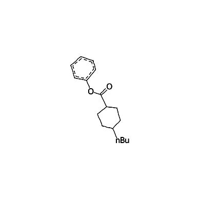 CCCCC1CCC(C(=O)Oc2ccccc2)CC1